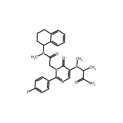 CC(C(N)=O)N(C)c1cnc(-c2ccc(F)cc2)n(CC(=O)N(C)C2CCCc3ccccc32)c1=O